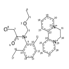 CCOCN(C(=O)CCl)c1c(C)cccc1CC.c1cc[n+]2c(c1)-c1cccc[n+]1CC2